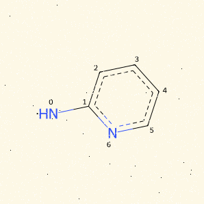 [NH]c1ccccn1